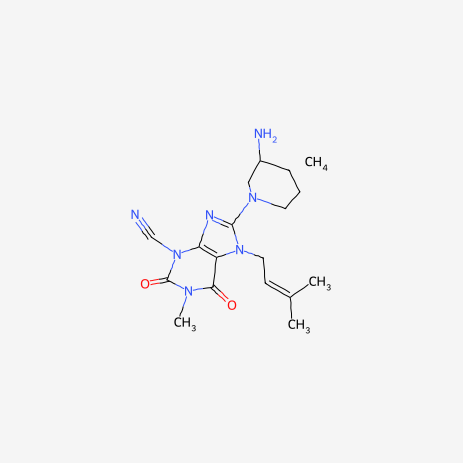 C.CC(C)=CCn1c(N2CCCC(N)C2)nc2c1c(=O)n(C)c(=O)n2C#N